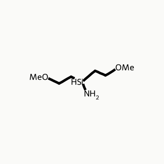 COCC[SiH](N)CCOC